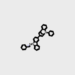 C1=C(c2ccc3c(c2)c2ccccc2n3/N=C/c2ccccc2)C=C2CC1N(c1ccccc1)c1ccccc12